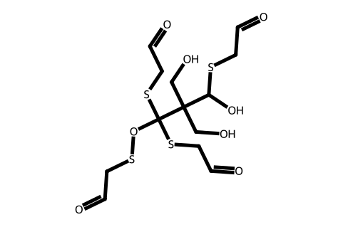 O=CCSOC(SCC=O)(SCC=O)C(CO)(CO)C(O)SCC=O